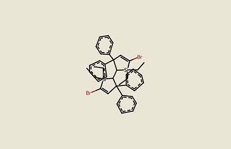 CC[Si]1(CC)C(Br)=CC(c2ccccc2)(c2ccccc2)C1C1C(c2ccccc2)(c2ccccc2)C=C(Br)[Si]1(CC)CC